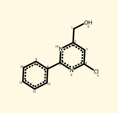 OCc1cc(Cl)nc(-c2ccccc2)n1